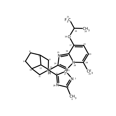 Cc1noc(N2CC3CCC(C2)C3Nc2nc3c(OC(C)C(F)(F)F)ccc(C(F)(F)F)n3n2)n1